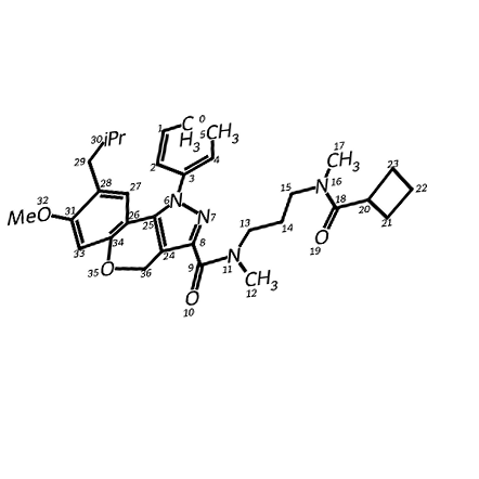 C/C=C\C(=C/C)n1nc(C(=O)N(C)CCCN(C)C(=O)C2CCC2)c2c1-c1cc(CC(C)C)c(OC)cc1OC2